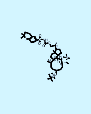 CC[C@@H]1CCC(O[Si](C)(C)C(C)(C)C)CCC(C)[C@H]2CCC3(C)C([C@H](C)COC(=O)NS(=O)(=O)c4ccc5c(c4)CCC(C)(C)O5)CC[C@H]3[C@@H]2C1O[Si](C)(C)C